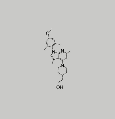 COc1cc(C)c(-n2cc(C)c3c(N4CCC(CCO)CC4)cc(C)nc32)c(C)c1